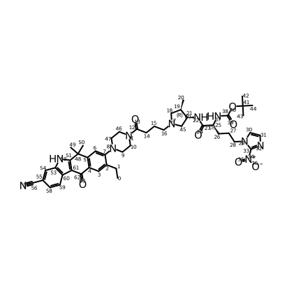 CCc1cc2c(cc1N1CCN(C(=O)CCCN3C[C@@H](C)[C@@H](NC(=O)[C@H](CCCn4ccnc4[N+](=O)[O-])NC(=O)OC(C)(C)C)C3)CC1)C(C)(C)c1[nH]c3cc(C#N)ccc3c1C2=O